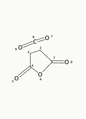 O=C1CCC(=O)O1.O=C=O